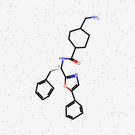 NCC1CCC(C(=O)N[C@@H](Cc2ccccc2)c2ncc(-c3ccccc3)o2)CC1